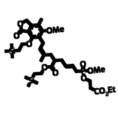 CCOC(=O)CCOP(=O)(CC=CCC(CC(C)=CCc1c(OC)c(C)c2c(c1OCC[Si](C)(C)C)C(=O)OC2)C(=O)OCC[Si](C)(C)C)OC